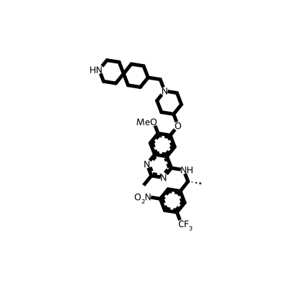 COc1cc2nc(C)nc(N[C@H](C)c3cc([N+](=O)[O-])cc(C(F)(F)F)c3)c2cc1OC1CCN(CC2CCC3(CCNCC3)CC2)CC1